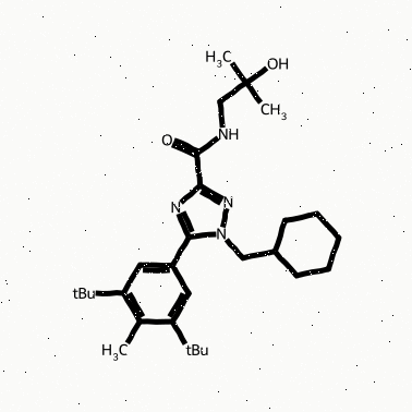 Cc1c(C(C)(C)C)cc(-c2nc(C(=O)NCC(C)(C)O)nn2CC2CCCCC2)cc1C(C)(C)C